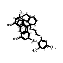 Cc1cc(C)cc(SCCNC2(P(c3cc(C(C)(C)C)cc(C(C)(C)C)c3)c3cc(C(C)(C)C)cc(C(C)(C)C)c3)CC=CC3=C2[C@@]2(CC3)CCc3ccccc32)c1